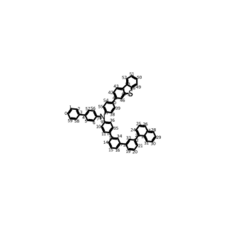 c1ccc(-c2ccc(N(c3ccc(-c4cccc(-c5cccc(-c6cccc7ccccc67)c5)c4)cc3)c3ccc(-c4ccc5c(c4)sc4ccccc45)cc3)cc2)cc1